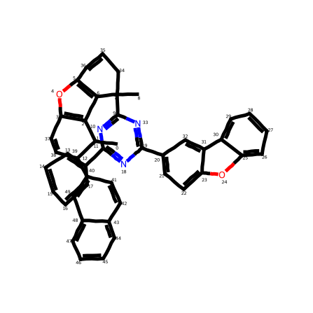 CC1c2c(oc3c2C(C)(c2nc(-c4ccccc4)nc(-c4ccc5oc6ccccc6c5c4)n2)CC=C3)C=CC1c1ccc2ccccc2c1